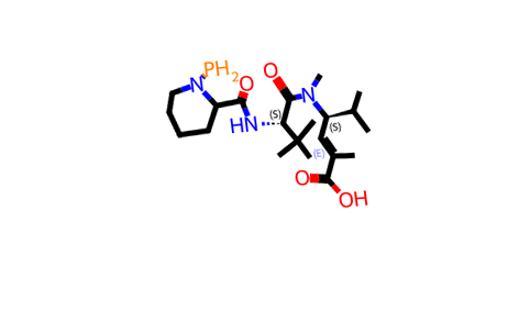 C/C(=C\[C@H](C(C)C)N(C)C(=O)[C@@H](NC(=O)C1CCCCN1P)C(C)(C)C)C(=O)O